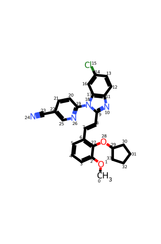 COc1cccc(/C=C/c2nc3ccc(Cl)cc3n2-c2ccc(C#N)cn2)c1OC1CCCC1